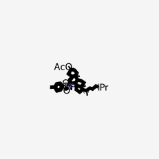 CC(=O)O[C@H]1CC[C@@]2(C)C(=C/C(=N\S(=O)(=O)c3ccc(C)cc3)C3C2CC[C@]2(C)C([C@H](C)CCCC(C)C)CC[C@@H]32)C1